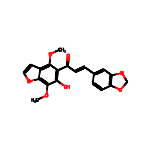 COc1c(C(=O)C=Cc2ccc3c(c2)OCO3)c(O)c(OC)c2occc12